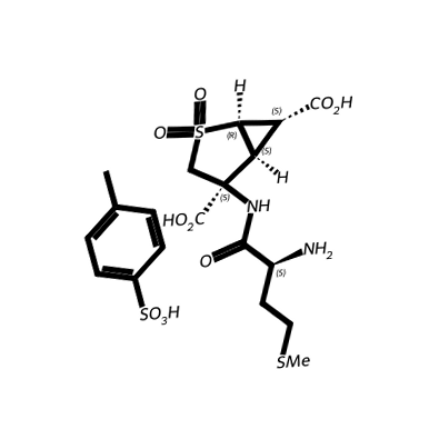 CSCC[C@H](N)C(=O)N[C@@]1(C(=O)O)CS(=O)(=O)[C@H]2[C@H](C(=O)O)[C@H]21.Cc1ccc(S(=O)(=O)O)cc1